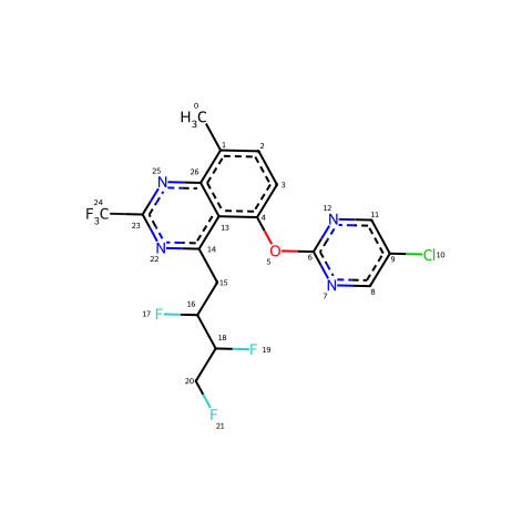 Cc1ccc(Oc2ncc(Cl)cn2)c2c(CC(F)C(F)CF)nc(C(F)(F)F)nc12